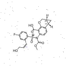 COC(=O)N(c1ccc2c(c1C(=O)O)OC[C@@H]1C[C@H]21)S(=O)(=O)c1ccc(F)cc1/C=C\CO